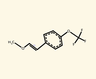 CO/C=C/c1ccc(OC(F)(F)F)cc1